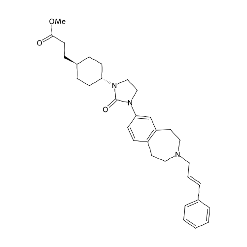 COC(=O)CC[C@H]1CC[C@H](N2CCN(c3ccc4c(c3)CCN(CC=Cc3ccccc3)CC4)C2=O)CC1